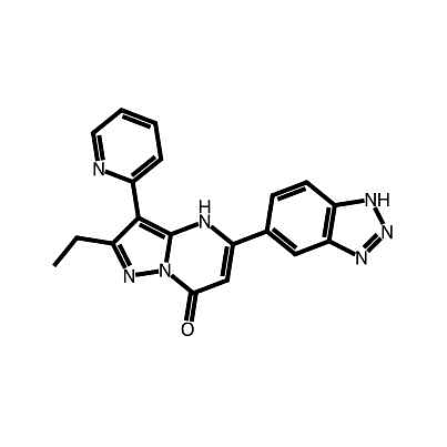 CCc1nn2c(=O)cc(-c3ccc4[nH]nnc4c3)[nH]c2c1-c1ccccn1